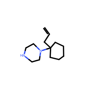 C=CCC1(N2CCNCC2)CCCCC1